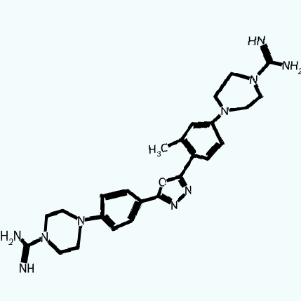 Cc1cc(N2CCN(C(=N)N)CC2)ccc1-c1nnc(-c2ccc(N3CCN(C(=N)N)CC3)cc2)o1